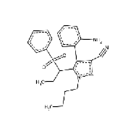 CCCCn1nc(C#N)c(-c2ccccc2N)c1C(CC)S(=O)(=O)c1ccccc1